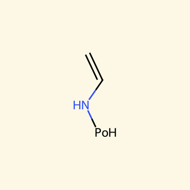 C=C[NH][PoH]